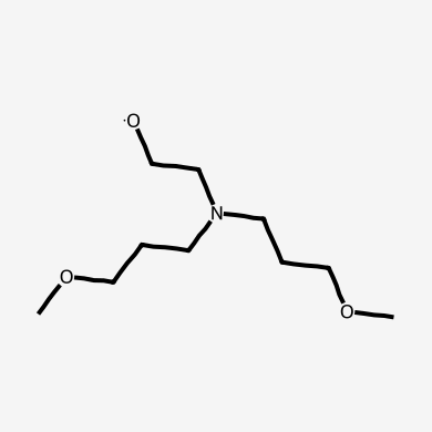 COCCCN(CC[O])CCCOC